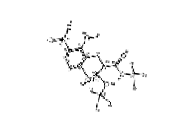 COc1ccc([N+](=O)[O-])c(OC)c1CN(C(=O)OC(C)(C)C)C(=O)OC(C)(C)C